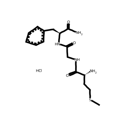 CSCC[C@@H](N)C(=O)NCC(=O)N[C@@H](Cc1ccccc1)C(N)=O.Cl